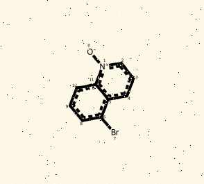 [O-][n+]1cccc2c(Br)cccc21